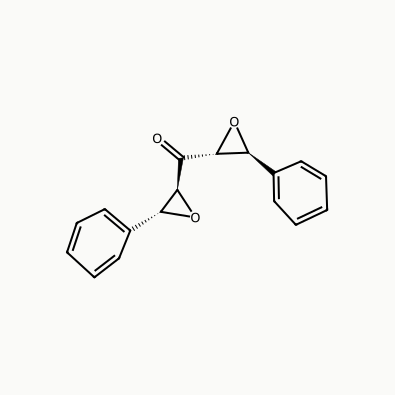 O=C([C@H]1O[C@@H]1c1ccccc1)[C@@H]1O[C@H]1c1ccccc1